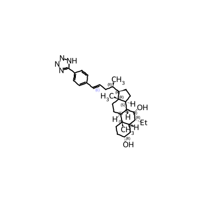 CC[C@H]1[C@@H](O)[C@@H]2[C@H](CC[C@]3(C)[C@@H]([C@H](C)C/C=C/c4ccc(-c5nnn[nH]5)cc4)CC[C@@H]23)[C@@]2(C)CC[C@@H](O)C[C@@H]12